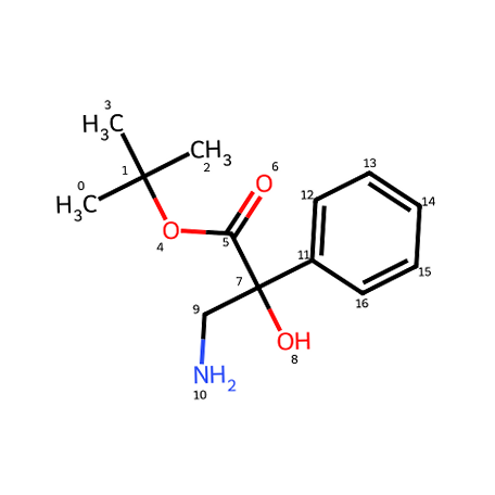 CC(C)(C)OC(=O)C(O)(CN)c1ccccc1